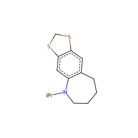 CC(C)N1CCCCc2cc3c(cc21)SCS3